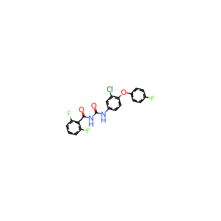 O=C(NC(=O)c1c(F)cccc1F)Nc1ccc(Oc2ccc(F)cc2)c(Cl)c1